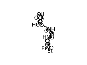 CCN(CC)C(=O)c1cc2cc(NC(=O)c3cc(NC(=O)CCCOc4cc5c(cc4O)C(=O)N4CCC[C@H]4C=N5)cn3C)ccc2o1